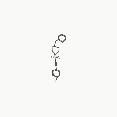 O=S(=O)(C#Cc1ccc(F)cc1)N1CCC(Cc2ccccc2)CC1